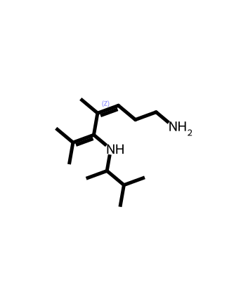 CC(C)=C(NC(C)C(C)C)/C(C)=C\CCN